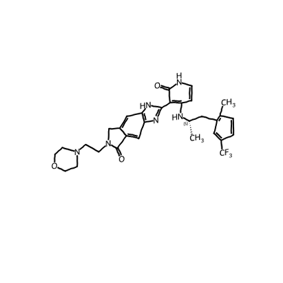 Cc1ccc(C(F)(F)F)cc1C[C@H](C)Nc1cc[nH]c(=O)c1-c1nc2cc3c(cc2[nH]1)CN(CCN1CCOCC1)C3=O